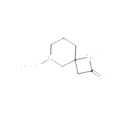 O=C1CC2(CCCN(C(=O)O)C2)N1